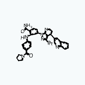 CC(C)c1nn(-c2ccc(C(N)=O)c(Nc3ccc(C(=O)N4CCCC4)cc3)c2)c2nccc(-c3cnc4ccccc4c3)c12